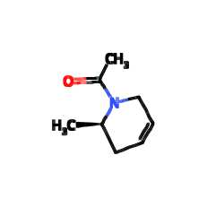 CC(=O)N1CC=CC[C@H]1C